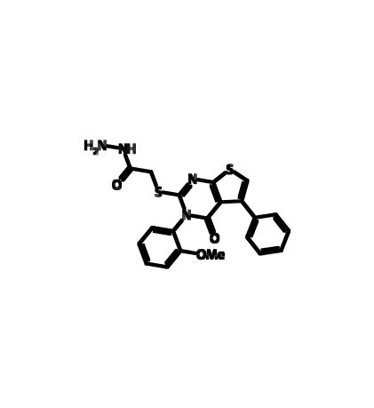 COc1ccccc1-n1c(SCC(=O)NN)nc2scc(-c3ccccc3)c2c1=O